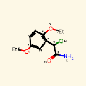 CCOc1ccc(OCC)c(C(Cl)C(N)=O)c1